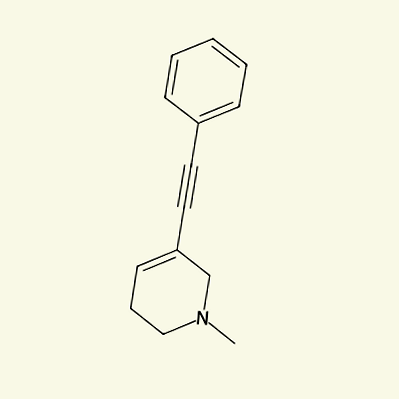 CN1CCC=C(C#Cc2ccccc2)C1